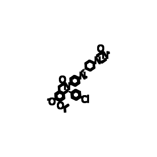 COc1cc2c(cc1OC(C)C)[C@@H](c1ccc(Cl)cc1)N(c1ccc(N(C)C[C@H]3CC[C@H](N4CCN(C)C(=O)C4)CC3)cc1)C(=O)C2